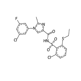 CCSc1cccc(Cl)c1S(=O)(=O)NC(=O)c1cn(-c2cc(F)cc(Cl)c2)c(C)n1